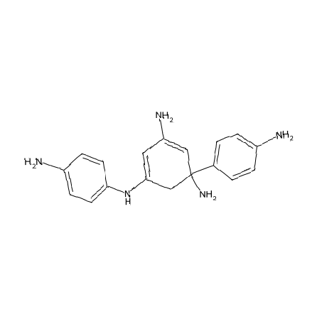 NC1=CC(N)(c2ccc(N)cc2)CC(Nc2ccc(N)cc2)=C1